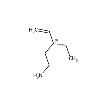 C=C[C@H](CC)CCN